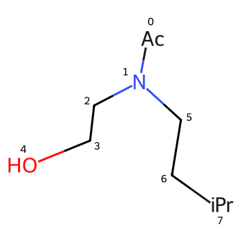 CC(=O)N(CCO)CCC(C)C